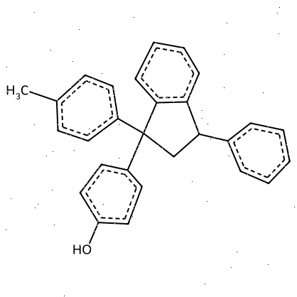 Cc1ccc(C2(c3ccc(O)cc3)CC(c3ccccc3)c3ccccc32)cc1